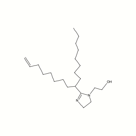 C=CCCCCCCC(CCCCCCCC)C1=NCCN1CCO